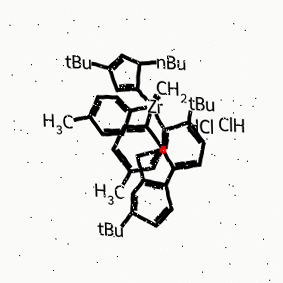 Cl.Cl.[CH2]=[Zr]([C]1=CC(C(C)(C)C)=CC1CCCC)([c]1ccc(C)cc1)([c]1ccc(C)cc1)[c]1c(C(C)(C)C)ccc2c1Cc1cc(C(C)(C)C)ccc1-2